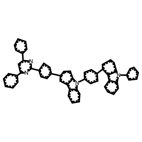 c1ccc(-c2cc(-c3ccccc3)nc(-c3ccc(-c4ccc5c(c4)c4ccccc4n5-c4ccc(-c5cccc6c5c5ccccc5n6-c5ccccc5)cc4)cc3)n2)cc1